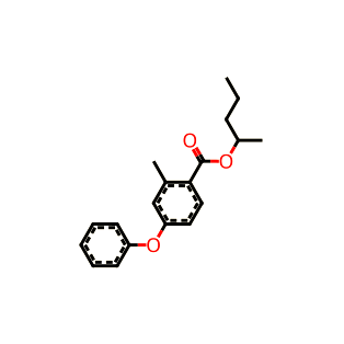 CCCC(C)OC(=O)c1ccc(Oc2ccccc2)cc1C